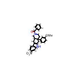 COc1cccc(C23CCN(C(=O)c4ccccc4)CC2Cc2c([nH]c4cc([N+](=O)[O-])ccc24)C3)c1